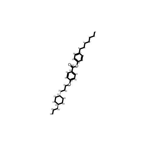 CCCCCCCc1ccc(OC(=O)c2ccc(OCCC[C@H]3CC[C@H](CCC)CC3)cc2)cc1